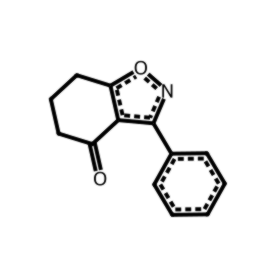 O=C1CCCc2onc(-c3ccccc3)c21